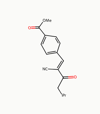 COC(=O)c1ccc(/C=C(\C#N)C(=O)CC(C)C)cc1